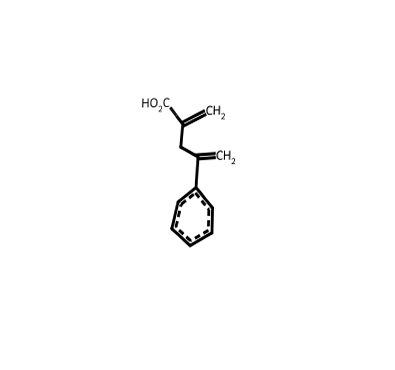 C=C(CC(=C)c1ccccc1)C(=O)O